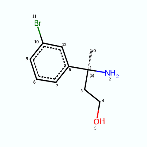 C[C@](N)(CCO)c1cccc(Br)c1